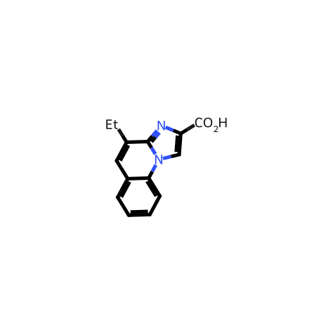 CCc1cc2ccccc2n2cc(C(=O)O)nc12